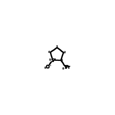 CC(C)C1CCC[S+]1[O-]